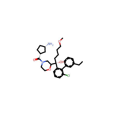 CCc1cccc(-c2c(Cl)cccc2[C@](O)(CCCCOC)C2CN(C(=O)[C@@H]3CC[C@H](N)C3)CCO2)c1